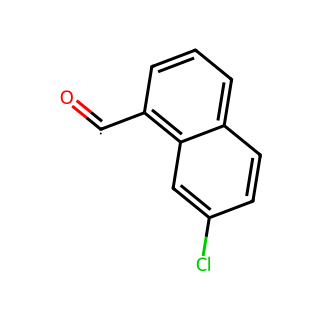 O=[C]c1cccc2ccc(Cl)cc12